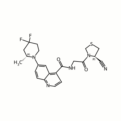 C[C@@H]1CC(F)(F)CCN1c1ccc2nccc(C(=O)NCC(=O)N3CSC[C@H]3C#N)c2c1